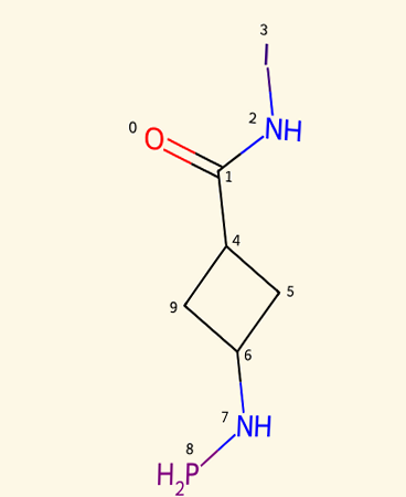 O=C(NI)C1CC(NP)C1